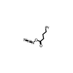 CC(C)CCCC(=O)ON=[N+]=[N-]